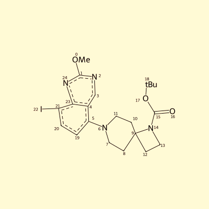 COc1ncc2c(N3CCC4(CC3)CCN4C(=O)OC(C)(C)C)ccc(I)c2n1